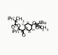 CC(C)[C@H](OC(=O)[C@H](C)C(C)C)C(=O)N1CCC(O[Si](C)(C)C(C)(C)C)CC1